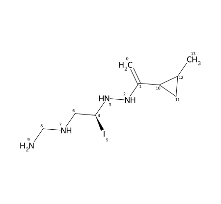 C=C(NN[C@@H](I)CNCN)C1CC1C